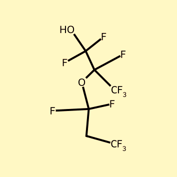 OC(F)(F)C(F)(OC(F)(F)CC(F)(F)F)C(F)(F)F